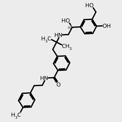 Cc1ccc(CCNC(=O)c2cccc(CC(C)(C)NC[C@@H](O)c3ccc(O)c(CO)c3)c2)cc1